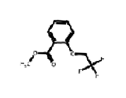 COC(=O)c1ccccc1OCC(F)(F)F